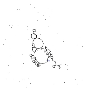 CC[C@@H]1CC/C=C/[C@H](OCCC(=O)N(C)C)[C@@H]2CC[C@H]2CN2CCCCc3cc(Cl)ccc3COc3ccc(cc32)C(=O)NS1(=O)=O